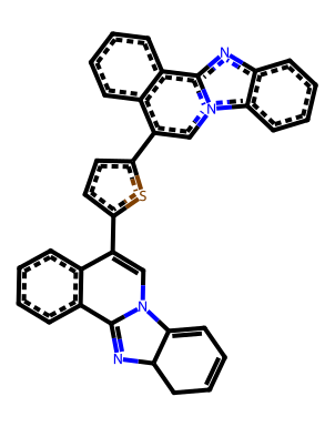 C1=CCC2N=C3c4ccccc4C(c4ccc(-c5cn6c7ccccc7nc6c6ccccc56)s4)=CN3C2=C1